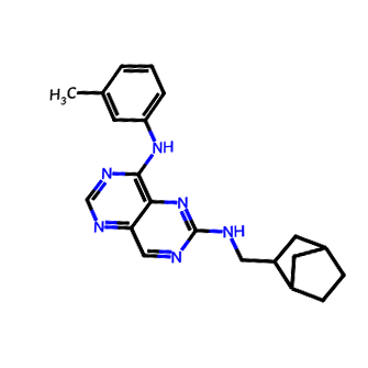 Cc1cccc(Nc2ncnc3cnc(NCC4CC5CCC4C5)nc23)c1